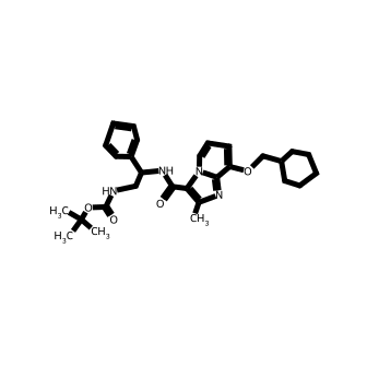 Cc1nc2c(OCC3CCCCC3)cccn2c1C(=O)NC(CNC(=O)OC(C)(C)C)c1ccccc1